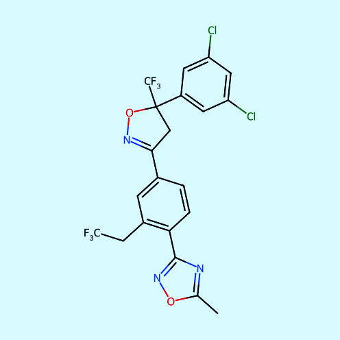 Cc1nc(-c2ccc(C3=NOC(c4cc(Cl)cc(Cl)c4)(C(F)(F)F)C3)cc2CC(F)(F)F)no1